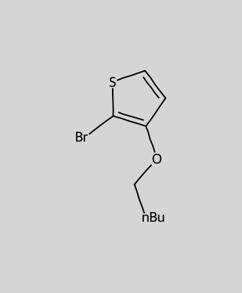 CCCCCOc1ccsc1Br